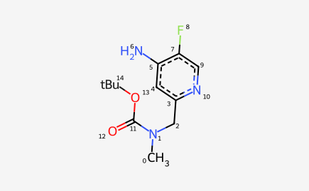 CN(Cc1cc(N)c(F)cn1)C(=O)OC(C)(C)C